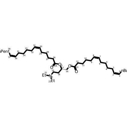 CCCC/C=C\CCCC/C=C\CCCCC(=O)OC[C@H](CCN(CC)CC)OC(=O)CCCC/C=C\CCCC/C=C\CCCCC